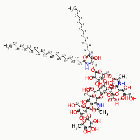 CCCCCCCCCCCCC/C=C/[C@@H](O)[C@H](CO[C@@H]1OC(CO)[C@@H](O[C@@H]2OC(CO)[C@H](O[C@@H]3OC(CO)[C@H](O)[C@H](O[C@@H]4OC(CO)[C@H](O)[C@H](O)C4O[C@H]4OC(C)[C@@H](O)C(O)[C@@H]4O)C3NC(C)=O)[C@H](O[C@]3(C(=O)O)CC(O)[C@@H](NC(C)=O)C([C@H](O)[C@H](O)CO)O3)C2O)[C@H](O)C1O)NC(=O)CCCCCCCCCCCCCCCCCCCCC